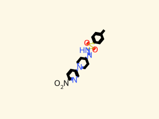 Cc1ccc(S(=O)(=O)NN=C2CCN(c3ccc([N+](=O)[O-])nc3)CC2)cc1